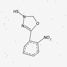 O=[N+]([O-])c1ccccc1C1=NN(S)CO1